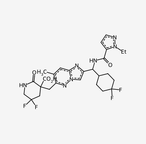 CCn1nccc1C(=O)NC(c1cn2nc(CC3(C(=O)O)CC(F)(F)CNC3=O)c(C)cc2n1)C1CCC(F)(F)CC1